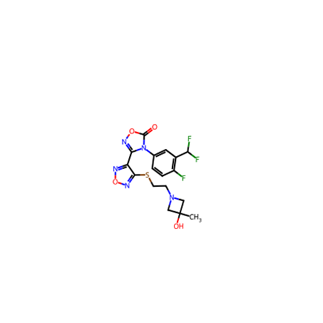 CC1(O)CN(CCSc2nonc2-c2noc(=O)n2-c2ccc(F)c(C(F)F)c2)C1